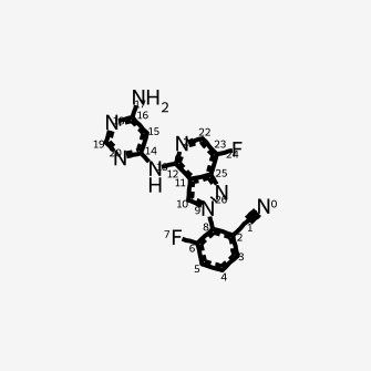 N#Cc1cccc(F)c1-n1cc2c(Nc3cc(N)ncn3)ncc(F)c2n1